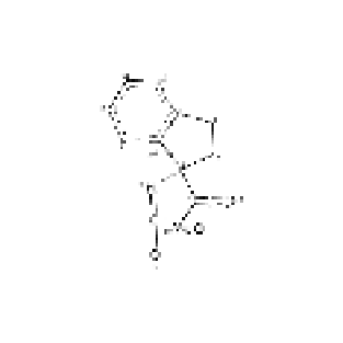 COC(=O)[C@]1(N=C=O)CCc2ccccc21